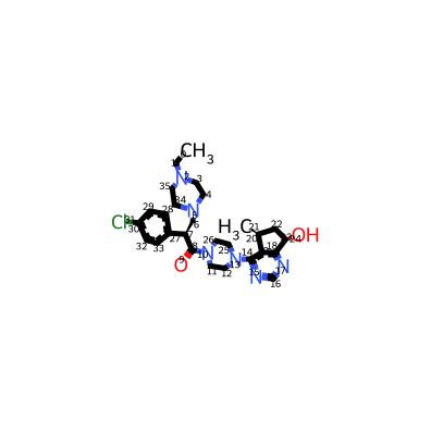 CCN1CCN(C[C@@H](C(=O)N2CCN(c3ncnc4c3[C@H](C)C[C@H]4O)CC2)c2ccc(Cl)cc2)CC1